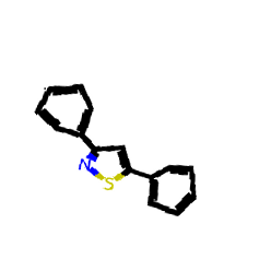 [c]1ccc(-c2cc(-c3ccccc3)sn2)cc1